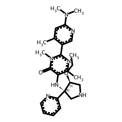 CCO[C@H]1CNC[C@@]1(Nc1c(C)nc(-c2cnc(N(C)C)cc2C)n(C)c1=O)c1ccccn1